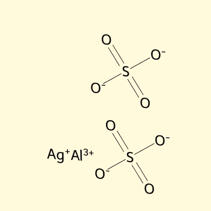 O=S(=O)([O-])[O-].O=S(=O)([O-])[O-].[Ag+].[Al+3]